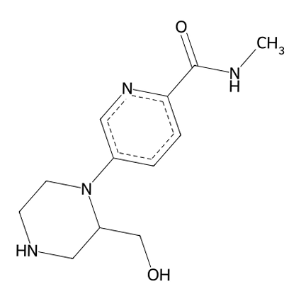 CNC(=O)c1ccc(N2CCNCC2CO)cn1